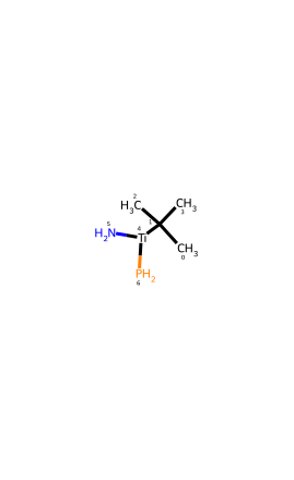 C[C](C)(C)[Ti]([NH2])[PH2]